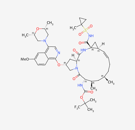 COc1ccc2c(O[C@@H]3C[C@H]4C(=O)N[C@]5(C(=O)NS(=O)(=O)C6(C)CC6)C[C@H]5C=CCC[C@@H](C)C[C@@H](C)[C@H](NC(=O)OC(C)(C)C(F)(F)F)C(=O)N4C3)ncc(N3C[C@@H](C)O[C@@H](C)C3)c2c1